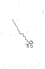 CCCCCCCCCCCCC/C=C/c1cccc(OC)c1C(=O)OC